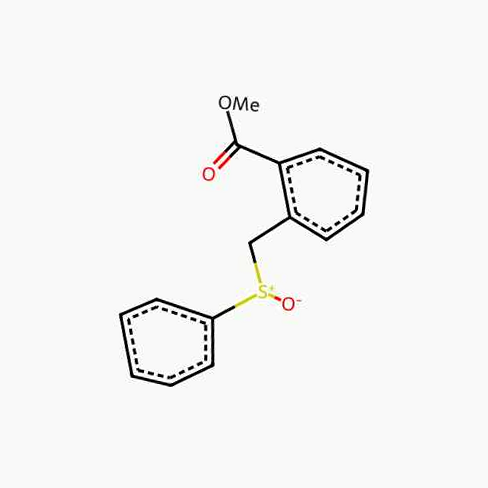 COC(=O)c1ccccc1C[S+]([O-])c1ccccc1